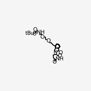 CC(C)(C)OC(=O)NCCOCCOCCCc1cccc2c1CN(C1CCC(=O)NC1=O)C2=O